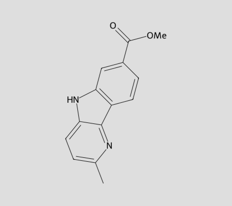 COC(=O)c1ccc2c(c1)[nH]c1ccc(C)nc12